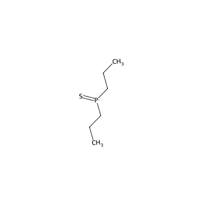 CCC[P](=S)CCC